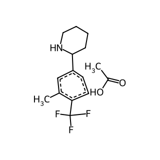 CC(=O)O.Cc1cc(C2CCCCN2)ccc1C(F)(F)F